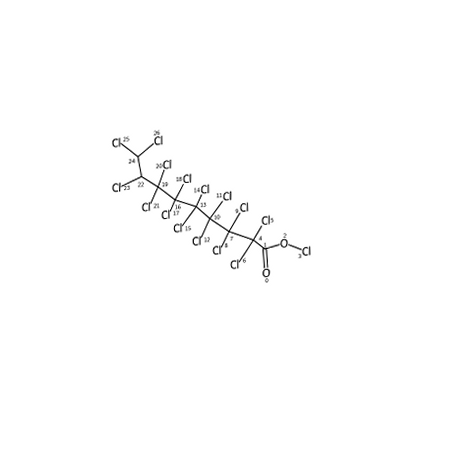 O=C(OCl)C(Cl)(Cl)C(Cl)(Cl)C(Cl)(Cl)C(Cl)(Cl)C(Cl)(Cl)C(Cl)(Cl)C(Cl)C(Cl)Cl